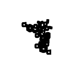 CCOC(CN(C(=O)C(Cc1ccc(Cl)cc1)NC(=O)C(CNS(=O)(=O)c1cc(Cl)ccc1Cl)NS(C)(=O)=O)C(C)C)OCC